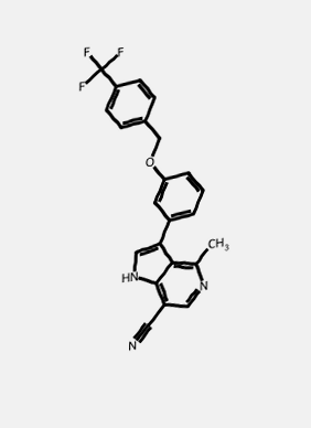 Cc1ncc(C#N)c2[nH]cc(-c3cccc(OCc4ccc(C(F)(F)F)cc4)c3)c12